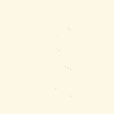 CC(C)C[AsH]c1nccc(N2CCN(C)CC2)n1